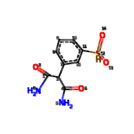 NC(=O)C(C(N)=O)c1cccc([SH](=O)=O)c1